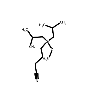 CC(C)C[Si](CCCC#N)(CC(C)C)O[SiH3]